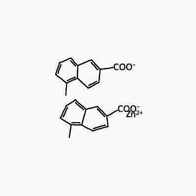 Cc1cccc2cc(C(=O)[O-])ccc12.Cc1cccc2cc(C(=O)[O-])ccc12.[Zn+2]